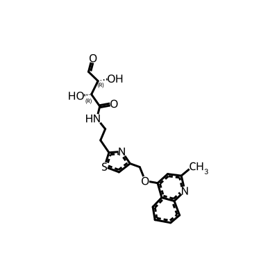 Cc1cc(OCc2csc(CCNC(=O)[C@H](O)[C@@H](O)C=O)n2)c2ccccc2n1